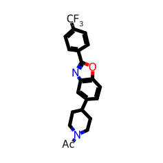 CC(=O)N1CCC(c2ccc3oc(-c4ccc(C(F)(F)F)cc4)nc3c2)CC1